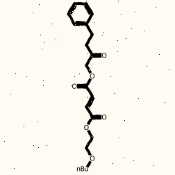 CCCCOCCOC(=O)/C=C/C(=O)OCC(=O)CCc1ccccc1